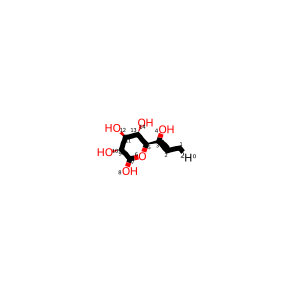 [2H]CC=C(O)[C@H]1OC(O)[C@H](O)[C@@H](O)[C@@H]1O